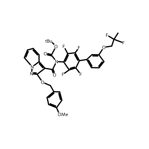 COc1ccc(COc2nn3ccccc3c2C(=O)N(C(=O)OC(C)(C)C)c2c(F)c(F)c(-c3cccc(OCC(C)(F)F)c3)c(F)c2F)cc1